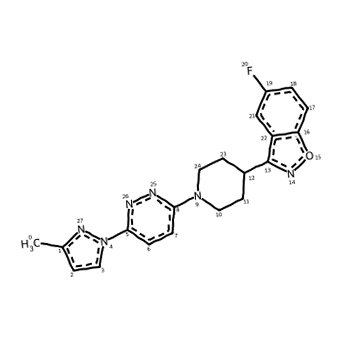 Cc1ccn(-c2ccc(N3CCC(c4noc5ccc(F)cc45)CC3)nn2)n1